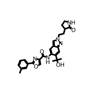 Cc1cccc(-c2nc(C(=O)Nc3cc4cn(CCC5CCNC5=O)nc4cc3C(C)(C)O)co2)c1